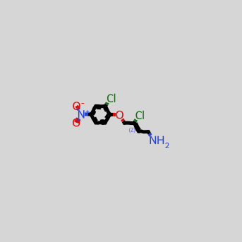 NC/C=C(\Cl)COc1ccc([N+](=O)[O-])cc1Cl